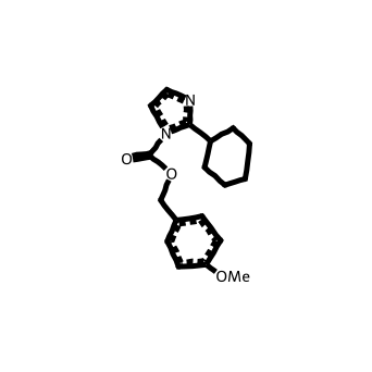 COc1ccc(COC(=O)n2ccnc2C2CCCCC2)cc1